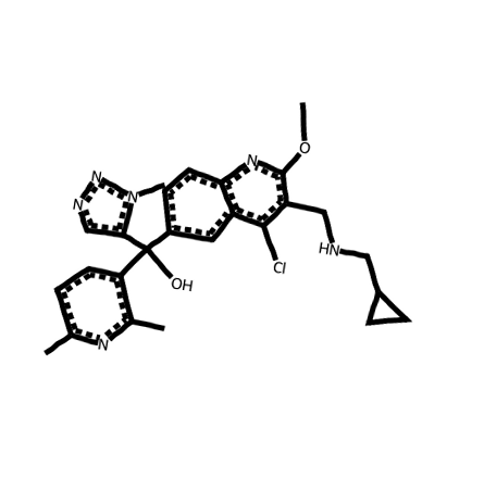 COc1nc2ccc(C(O)(c3ccc(C)nc3C)c3cnnn3C)cc2c(Cl)c1CNCC1CC1